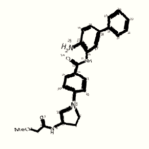 COCC(=O)NC1CCN(c2ccc(C(=O)Nc3cc(-c4ccccc4)ccc3N)cc2)C1